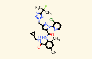 Cc1cc(C#N)cc(C(=O)NCC2CC2)c1NC(=O)c1cc(Cn2nnc(C(F)(C(F)(F)F)C(F)(F)F)n2)nn1-c1ncccc1Cl